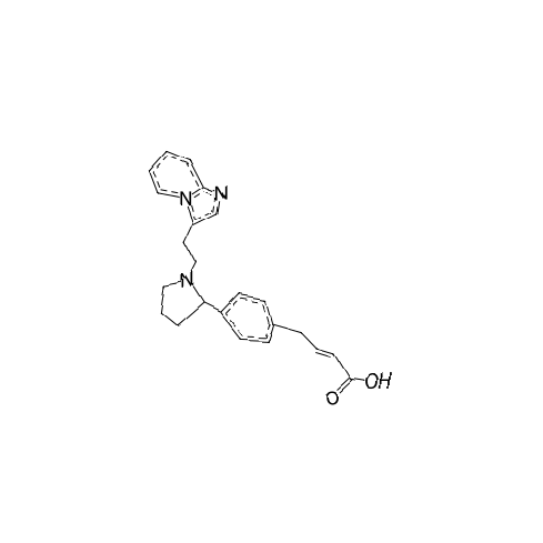 O=C(O)/C=C/Cc1ccc(C2CCCN2CCc2cnc3ccccn23)cc1